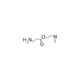 CN(I)CCOC(=O)CCN